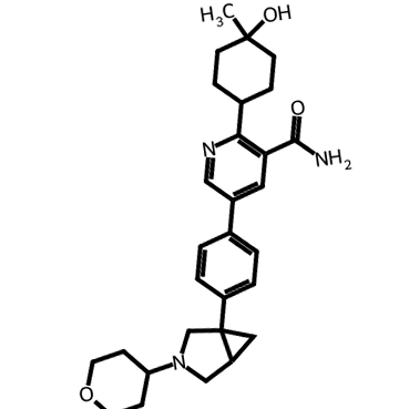 CC1(O)CCC(c2ncc(-c3ccc(C45CC4CN(C4CCOCC4)C5)cc3)cc2C(N)=O)CC1